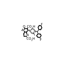 C[C@H]1CN(c2c(C(=O)O)c(=O)n(C)c3ccc(C(=O)O)nc23)CCN1C(c1ccc(F)cc1)c1ccc(F)cc1